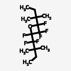 CCC(C)(C)C(F)(F)C1(F)OC(F)(C(C)(C)CC)C1(F)F